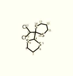 ClC(Cl)C1(C2SCCCS2)SCCCS1